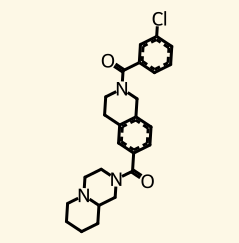 O=C(c1cccc(Cl)c1)N1CCc2cc(C(=O)N3CCN4CCCCC4C3)ccc2C1